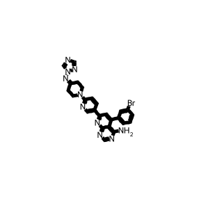 Nc1ncnc2nc(-c3ccc(N4CCC(=Nn5cncn5)CC4)nc3)cc(-c3cccc(Br)c3)c12